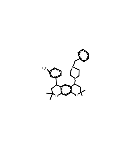 CC1(C)CC(c2cccc(C(F)(F)F)c2)c2cc3c(cc2O1)OC(C)(C)CC3N1CCN(Cc2ccccc2)CC1